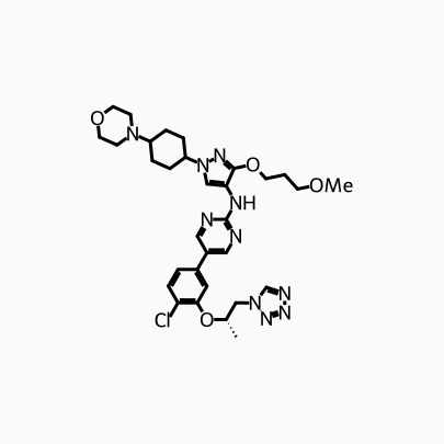 COCCCOc1nn(C2CCC(N3CCOCC3)CC2)cc1Nc1ncc(-c2ccc(Cl)c(O[C@@H](C)Cn3cnnn3)c2)cn1